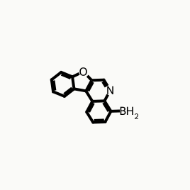 Bc1cccc2c1ncc1oc3ccccc3c12